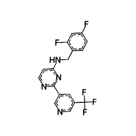 Fc1ccc(CNc2ccnc(-c3cncc(C(F)(F)F)c3)n2)c(F)c1